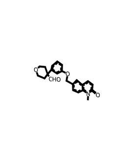 Cn1c(=O)ccc2cc(COc3cccc(C4(C=O)CCOCC4)c3)ccc21